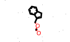 O=COCC1=CCc2ccccc21